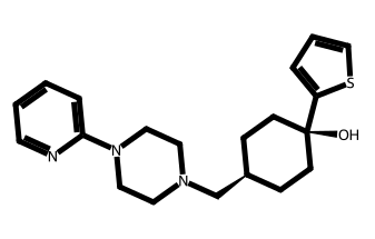 O[C@]1(c2cccs2)CC[C@H](CN2CCN(c3ccccn3)CC2)CC1